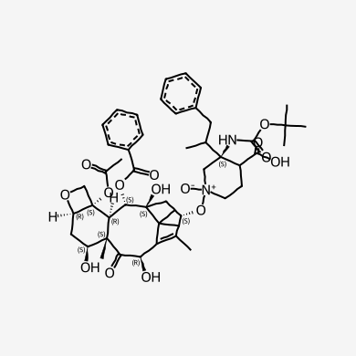 CC(=O)O[C@@]12CO[C@@H]1C[C@H](O)[C@@]1(C)C(=O)[C@H](O)C3=C(C)[C@@H](O[N+]4([O-])CCC(C(=O)O)[C@@](NC(=O)OC(C)(C)C)(C(C)Cc5ccccc5)C4)C[C@@](O)([C@@H](OC(=O)c4ccccc4)[C@H]21)C3(C)C